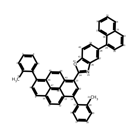 Cc1ccccc1-c1ccc2ccc3c(-c4ccccc4C)cc(-c4nc5cc(-c6cccc7ccccc67)ccc5o4)c4ccc1c2c43